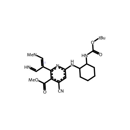 CN/C=C(\C=N)c1nc(NC2CCCCC2NC(=O)OC(C)(C)C)cc(C#N)c1C(=O)OC